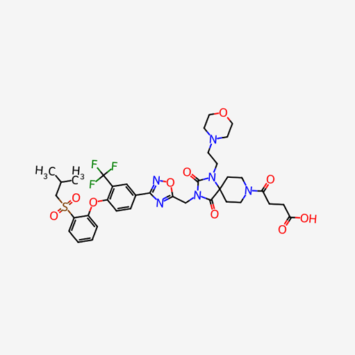 CC(C)CS(=O)(=O)c1ccccc1Oc1ccc(-c2noc(CN3C(=O)N(CCN4CCOCC4)C4(CCN(C(=O)CCC(=O)O)CC4)C3=O)n2)cc1C(F)(F)F